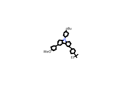 CCCCc1ccc(-n2c3ccc(-c4ccc(OC)cc4)cc3c3cc(-c4ccc(C(C)(C)CC)cc4)ccc32)cc1